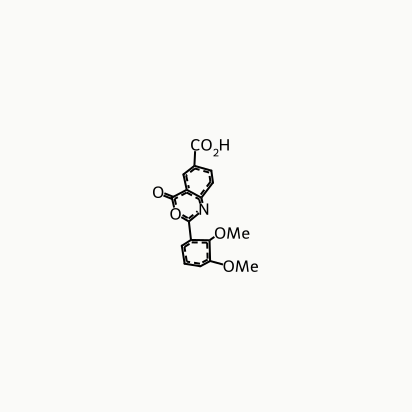 COc1cccc(-c2nc3ccc(C(=O)O)cc3c(=O)o2)c1OC